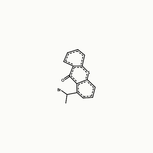 CC(Br)c1cccc2sc3ccccc3c(=O)c12